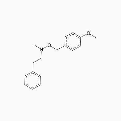 COc1ccc(CON(C)CCc2ccccc2)cc1